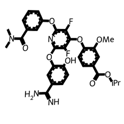 COc1cc(C(=O)OC(C)C)ccc1Oc1c(F)c(Oc2cccc(C(=O)N(C)C)c2)nc(Oc2cc(C(=N)N)ccc2O)c1F